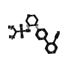 CC(C)S(=O)(=O)N[C@@H]1COCC[C@@H]1c1ccc(-c2ccccc2C#N)cc1